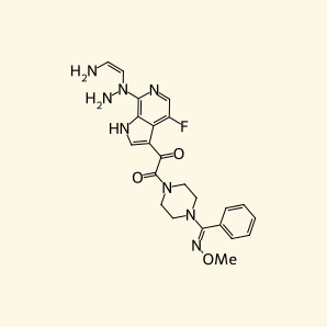 CO/N=C(\c1ccccc1)N1CCN(C(=O)C(=O)c2c[nH]c3c(N(N)/C=C\N)ncc(F)c23)CC1